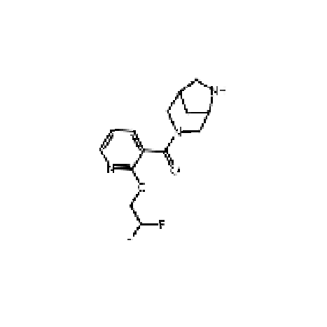 O=C(c1cccnc1OCC(F)F)N1CC2CNC(C2)C1